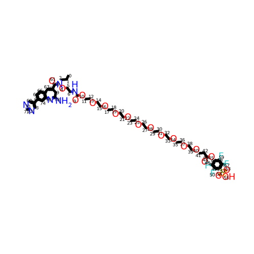 CCCN(OCCNC(=O)OCCOCCOCCOCCOCCOCCOCCOCCOCCOCCOCCC(=O)Oc1c(F)c(F)c(S(=O)(=O)O)c(F)c1F)C(=O)C1=Cc2ccc(-c3cncnc3)cc2N=C(N)C1